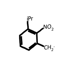 [CH2]c1cccc(C(C)C)c1[N+](=O)[O-]